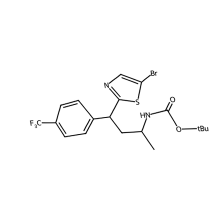 CC(CC(c1ccc(C(F)(F)F)cc1)c1ncc(Br)s1)NC(=O)OC(C)(C)C